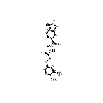 COc1ccc(CCC(=O)NNC(=O)c2ccc3[nH]ncc3c2)cc1C(F)(F)F